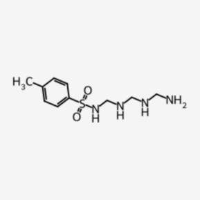 Cc1ccc(S(=O)(=O)NCNCNCN)cc1